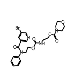 O=C(NCCOC(=O)N1CCOCC1)OCCN(C(=O)c1cncc(Br)c1)c1ccccc1